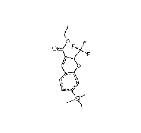 CCOC(=O)C1=Cc2ccc([Si](C)(C)C)cc2OC1C(F)(F)F